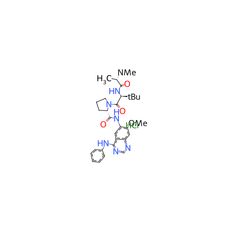 CN[C@@H](C)C(=O)N[C@H](C(=O)N1CCC[C@H]1C(=O)Nc1cc2c(Nc3ccccc3)ncnc2cc1OC)C(C)(C)C.Cl